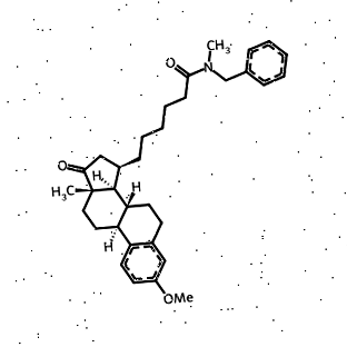 COc1ccc2c(c1)CC[C@H]1[C@@H]3[C@H](CCCCCC(=O)N(C)Cc4ccccc4)CC(=O)[C@@]3(C)CC[C@H]21